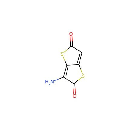 NC1=C2SC(=O)C=C2SC1=O